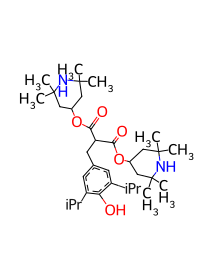 CC(C)c1cc(CC(C(=O)OC2CC(C)(C)NC(C)(C)C2)C(=O)OC2CC(C)(C)NC(C)(C)C2)cc(C(C)C)c1O